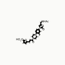 CC(=O)NCc1cn(-c2ccc(N3CCN(C(=O)C=Cc4ccc(C(=O)O)o4)CC3)c(F)c2)c(=O)o1